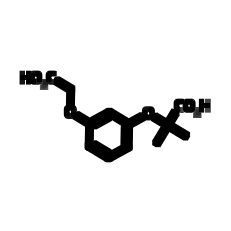 CC(C)(Oc1cccc(OCC(=O)O)c1)C(=O)O